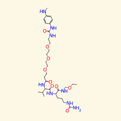 CCOCNC(=O)C(CCCNC(N)=O)NC(=O)C(NC(=O)CCOCCOCCOCCNC(=O)Nc1ccc(NC)cc1)C(C)C